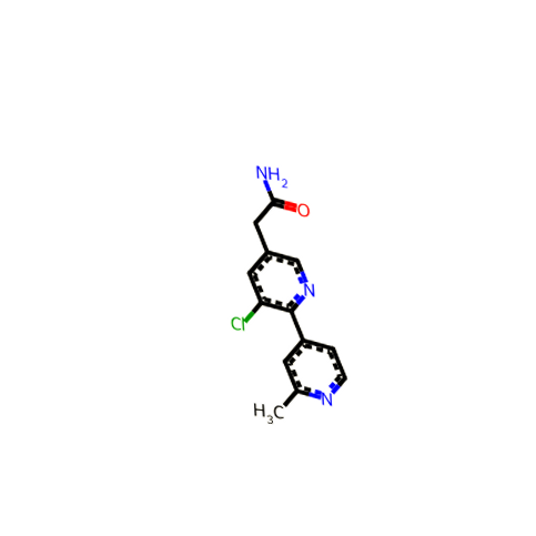 Cc1cc(-c2ncc(CC(N)=O)cc2Cl)ccn1